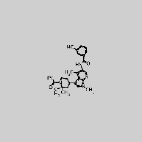 Cc1c(NC(=O)c2cccc(C#N)c2)cnc2c1c(C1CCN(C(=O)C(C)C)C(C)(C)C1)cn2C